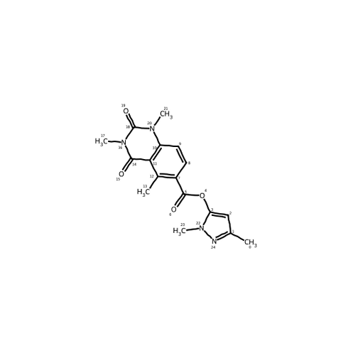 Cc1cc(OC(=O)c2ccc3c(c2C)c(=O)n(C)c(=O)n3C)n(C)n1